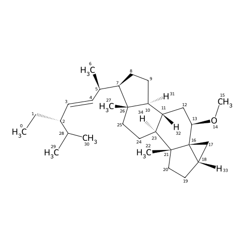 CC[C@H](/C=C/[C@@H](C)[C@H]1CC[C@H]2[C@@H]3C[C@@H](OC)[C@]45C[C@@H]4CC[C@]5(C)[C@H]3CC[C@]12C)C(C)C